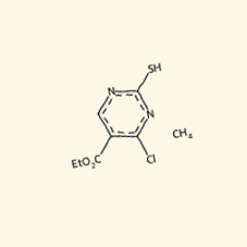 C.CCOC(=O)c1cnc(S)nc1Cl